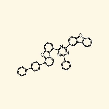 c1ccc(-c2ccc(-c3cccc4c3oc3cccc(-c5nc(-c6ccccc6)nc(-c6ccc7oc8ccccc8c7c6)n5)c34)cc2)cc1